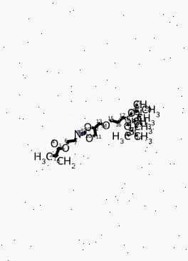 C=C(C)C(=O)OCC/N=C1\OCC(COCCC[Si](C)(O[Si](C)(C)C)O[Si](C)(C)C)O1